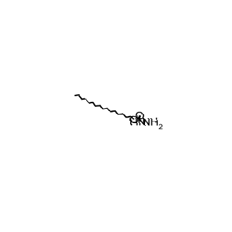 CCCCCCCCCCCCCCCCOC(=O)NN